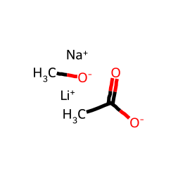 CC(=O)[O-].C[O-].[Li+].[Na+]